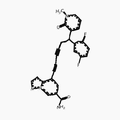 Cn1cccc(C(CC#CC#Cc2cc(C(N)=O)cn3nccc23)c2cc(F)ccc2F)c1=O